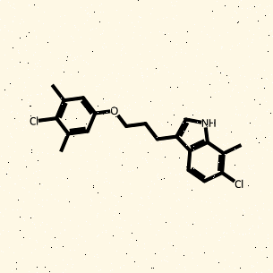 Cc1cc(OCCCc2c[nH]c3c(C)c(Cl)ccc23)cc(C)c1Cl